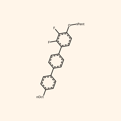 CCCCCCCCc1ccc(-c2ccc(-c3ccc(OCCCCC)c(F)c3F)cc2)cc1